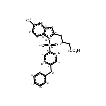 O=C(O)CCCc1cc2nc(Cl)ccc2n1S(=O)(=O)c1cnc(Cc2ccccc2)cn1